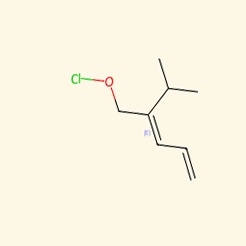 C=C/C=C(/COCl)C(C)C